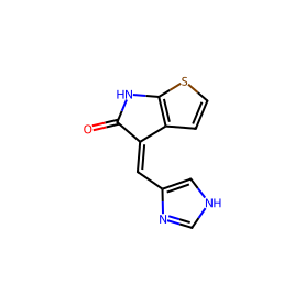 O=C1Nc2sccc2/C1=C\c1c[nH]cn1